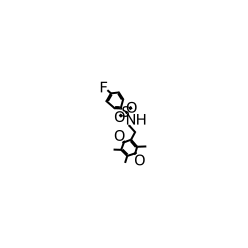 CC1=C(C)C(=O)C(CCNS(=O)(=O)c2ccc(F)cc2)=C(C)C1=O